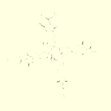 CCC(=O)C1C(=O)CC(CCCC2(C)O[Si](C)(CCCC3CC(=O)C(C(=O)CC)C3=O)O[Si](C)(CCCC3CC(=O)N(C(=O)CC)C3=O)O[Si](C)(CCCC3CC(=O)N(C(=O)CC)C3=O)O2)C1=O